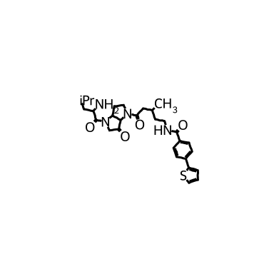 CC(C)CC(N)C(=O)N1CC(=O)C2C1CCN2C(=O)CC(C)CCNC(=O)c1ccc(-c2cccs2)cc1